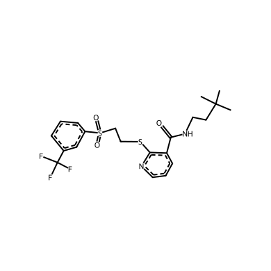 CC(C)(C)CCNC(=O)c1cccnc1SCCS(=O)(=O)c1cccc(C(F)(F)F)c1